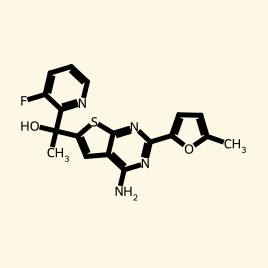 Cc1ccc(-c2nc(N)c3cc(C(C)(O)c4ncccc4F)sc3n2)o1